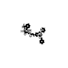 O=C(CO[C@@H]1C[C@@H](CNc2ccccn2)N(C(=O)OCc2ccccc2)C1)NC[C@H](NC(=O)c1ccccc1C(F)(F)F)C(=O)O